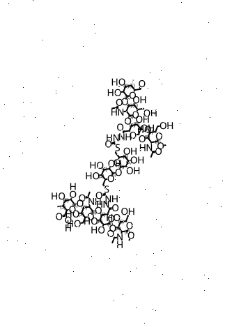 CO[C@@H]1OC(CO)[C@@H](O)[C@H](OC2OC(C(=O)NNC(=O)SCC3O[C@H](O[C@H]4OC(CSC(=O)NNC(=O)C5O[C@@H](O[C@@H]6C(NC(C)=O)[C@H](OC)OC(CO)[C@H]6O)C(O)[C@@H](O)[C@@H]5O[C@@H]5OC(CO)[C@@H](O)[C@H](O[C@@H]6OC(C(=O)O)[C@@H](C)[C@H](O)C6O)C5NC(C)=O)[C@@H](O)[C@H](O)C4O)C(O)[C@@H](O)[C@@H]3O)[C@@H](O[C@@H]3OC(CO)[C@@H](O)[C@H](O[C@@H]4OC(C=O)[C@@H](C)[C@H](O)C4O)C3NC(C)=O)[C@H](O)[C@@H]2O)C1NC(C)=O